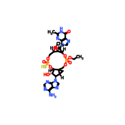 CCOP1(=O)OCC23C[C@@H]2[C@@H](n2cnc4c(N)ncnc42)[C@H](O)[C@@H]3OP(=O)(S)OC[C@H]2O[C@@H](n3cnc4c(=O)[nH]c(C)nc43)[C@H](O1)[C@@H]2OC